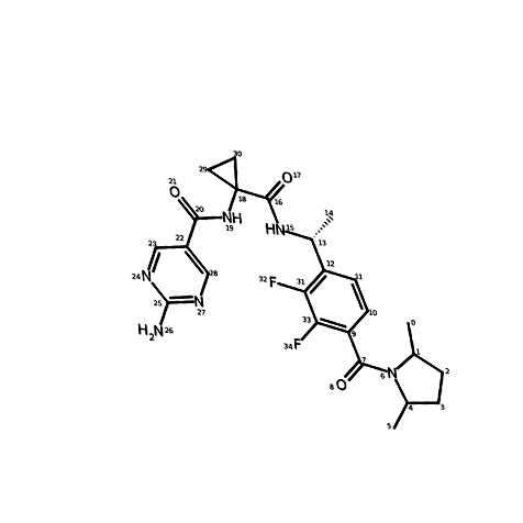 CC1CCC(C)N1C(=O)c1ccc([C@@H](C)NC(=O)C2(NC(=O)c3cnc(N)nc3)CC2)c(F)c1F